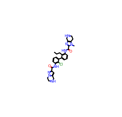 CCCc1c(NC(=O)c2nc3c(n2C)CCNC3)cccc1-c1cccc(NC(=O)c2cc3n(n2)CCNC3)c1Cl